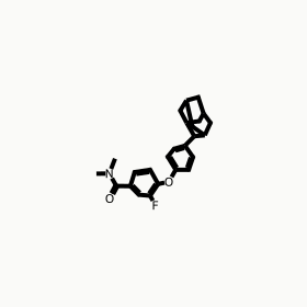 CN(C)C(=O)c1ccc(Oc2ccc(C3C4CC5CC(C4)CC3C5)cc2)c(F)c1